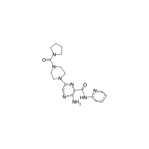 Nc1ncc(N2CCN(C(=O)N3CCCC3)CC2)nc1C(=O)Nc1ccccn1